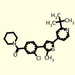 Cc1sc(-c2ccnc(C(C)(C)C)c2)cc1-c1ccc(C(=O)N2CCCCC2)cc1Cl